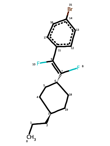 CCC[C@H]1CC[C@H](/C(F)=C(\F)c2ccc(Br)cc2)CC1